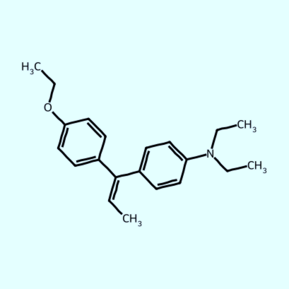 CC=C(c1ccc(OCC)cc1)c1ccc(N(CC)CC)cc1